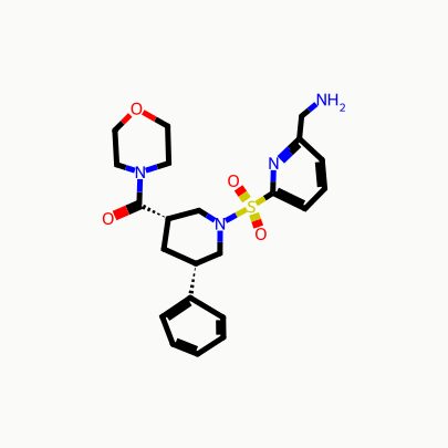 NCc1cccc(S(=O)(=O)N2C[C@@H](C(=O)N3CCOCC3)C[C@@H](c3ccccc3)C2)n1